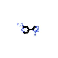 Nc1cc(-c2cnn[nH]2)ccn1